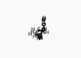 COc1cc(-c2[nH]c3cnc(C4CCC(N5CCOCC5)CC4)cc3c2C(C)C)cn2ncnc12